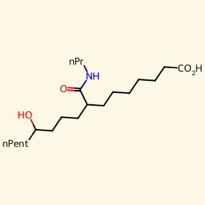 CCCCCC(O)CCCC(CCCCCCC(=O)O)C(=O)NCCC